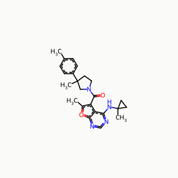 Cc1ccc(C2(C)CCN(C(=O)c3c(C)oc4ncnc(NC5(C)CC5)c34)C2)cc1